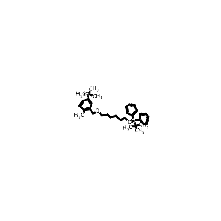 Cc1ccc([Si](C)(C)C)cc1COCCCCCCO[Si](c1ccccc1)(c1ccccc1)C(C)(C)C